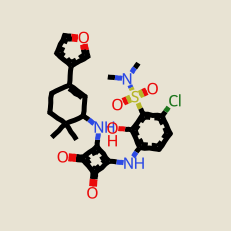 CN(C)S(=O)(=O)c1c(Cl)ccc(Nc2c(NC3C=C(c4ccoc4)CCC3(C)C)c(=O)c2=O)c1O